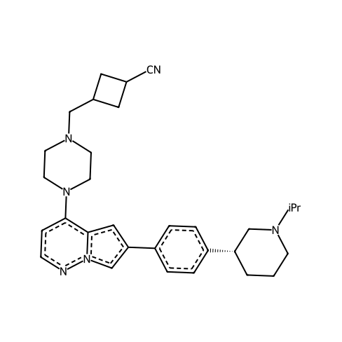 CC(C)N1CCC[C@H](c2ccc(-c3cc4c(N5CCN(CC6CC(C#N)C6)CC5)ccnn4c3)cc2)C1